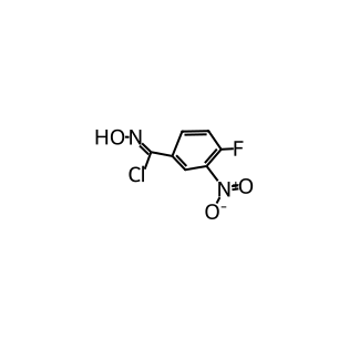 O=[N+]([O-])c1cc(C(Cl)=NO)ccc1F